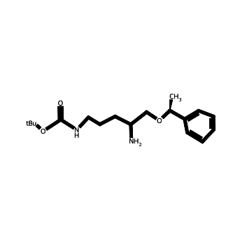 C[C@H](OCC(N)CCCNC(=O)OC(C)(C)C)c1ccccc1